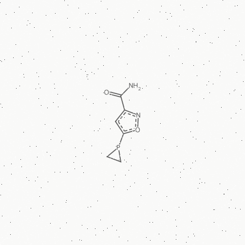 NC(=O)c1cc(P2CC2)on1